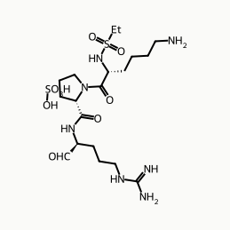 CCS(=O)(=O)N[C@H](CCCCN)C(=O)N1CCC[C@H]1C(=O)N[C@H](C=O)CCCNC(=N)N.O=S(=O)(O)O